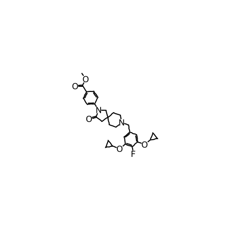 COC(=O)c1ccc(N2CC3(CCN(Cc4cc(OC5CC5)c(F)c(OC5CC5)c4)CC3)CC2=O)cc1